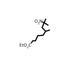 CCOC(=O)CCCCC(C)CC(C)(C)[N+](=O)[O-]